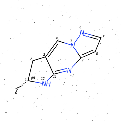 C[C@@H]1Cc2cn3nccc3nc2N1